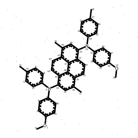 COc1ccc(N(c2ccc(C)cc2)c2cc(C)c3ccc4c(N(c5ccc(C)cc5)c5ccc(OC)cc5)cc(C)c5ccc2c3c54)cc1